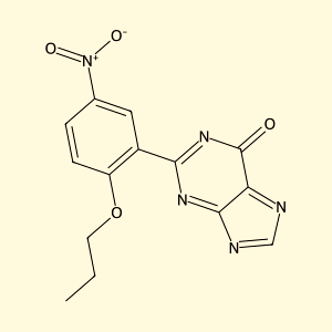 CCCOc1ccc([N+](=O)[O-])cc1C1=NC(=O)C2=NC=NC2=N1